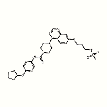 CS(=O)(=O)NCCCOc1ccc2c(C3CCN(C(=O)Nc4ccc(OC5CCCC5)nc4)CC3)ncnc2c1